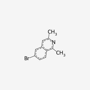 Cc1cc2cc(Br)ccc2c(C)n1